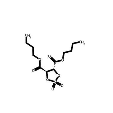 CCCCOC(=O)[C@@H]1OS(=O)(=O)O[C@H]1C(=O)OCCCC